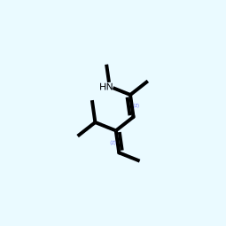 C/C=C(\C=C(\C)NC)C(C)C